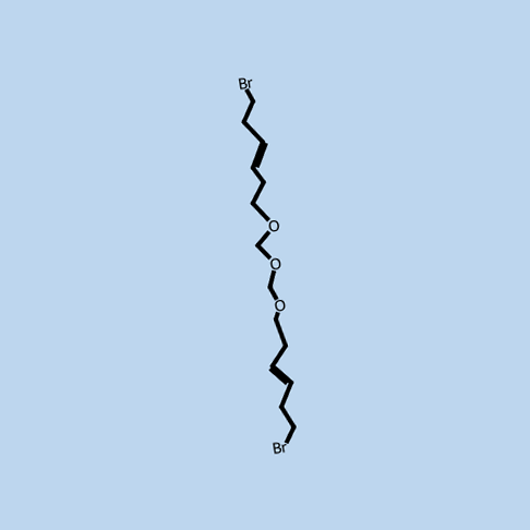 BrCCC=CCCOCOCOCCC=CCCBr